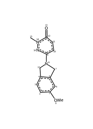 COc1ccc2c(c1)CN(c1ccc(=O)n(C)n1)C2